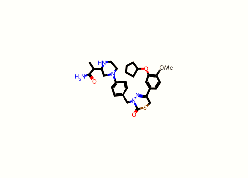 COc1ccc(C2=NN(Cc3ccc(N4CCNC(C(C)C(N)=O)C4)cc3)C(=O)SC2)cc1OC1CCCC1